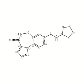 O=C1NCc2cc(CNC3CCCC3)ccc2-n2cccc21